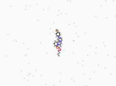 CCCCOC(=O)CC(CN1CCN(c2ccc(Br)cc2)CC1)N1CCCCC1